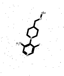 CC(C)(C)OCC1CCN(c2c(N)cncc2F)CC1